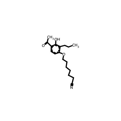 CCCc1c(OCCCCCCC#N)ccc(C(C)=O)c1O